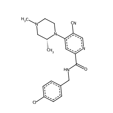 C[C@@H]1CN(C)CCN1c1cc(C(=O)NCc2ccc(Cl)cc2)ncc1C#N